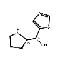 O[C@@H](c1cncs1)[C@H]1CCCN1